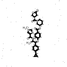 CC(NC(=O)c1cn(C)cn1)C(Oc1ccc(C(=O)O[C@H]2CCCN(C(=O)[C@H]3COC(=O)C3)C2)cc1)c1ccc(C2CC2)cc1